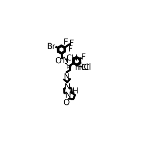 CN(C[C@@H](CCN1CC(N2CCN3C(=O)CC[C@@H]3C2)C1)c1ccc(F)cc1)C(=O)c1cc(Br)cc(C(F)(F)F)c1.Cl.Cl